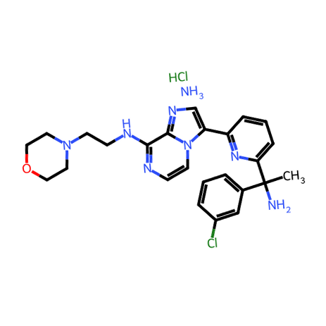 CC(N)(c1cccc(Cl)c1)c1cccc(-c2cnc3c(NCCN4CCOCC4)nccn23)n1.Cl.N